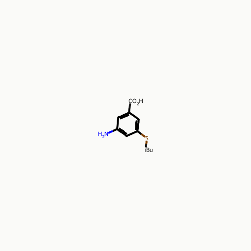 CCC(C)Sc1cc(N)cc(C(=O)O)c1